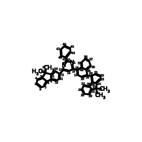 CC1(C)c2ccccc2-c2ccc(-c3cc(-c4ccc(-c5cccc6c5-c5ccccc5C6(C)C)c5ccccc45)nc(-c4ccccc4)n3)cc21